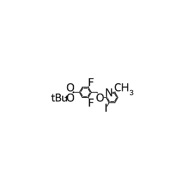 Cc1ccc(I)c(OCc2c(F)cc(C(=O)OC(C)(C)C)cc2F)n1